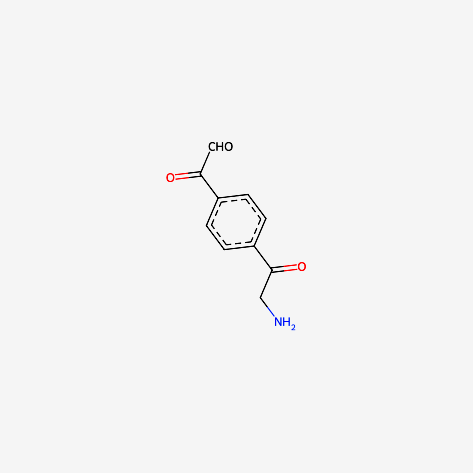 NCC(=O)c1ccc(C(=O)C=O)cc1